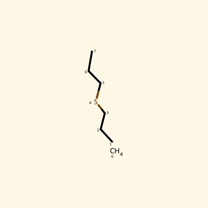 C.CCCSCCC